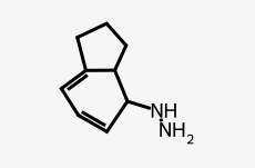 NNC1C=CC=C2CCCC21